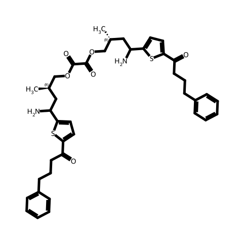 C[C@@H](COC(=O)C(=O)OC[C@H](C)CC(N)c1ccc(C(=O)CCCc2ccccc2)s1)CC(N)c1ccc(C(=O)CCCc2ccccc2)s1